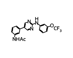 CC(=O)Nc1cccc(-c2cnc(Nc3cccc(OC(F)(F)F)c3)nc2)c1